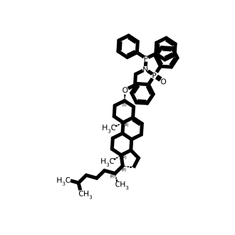 CC(C)CCC[C@@H](C)[C@H]1CCC2C3CC=C4C[C@@H](OCCN(P(c5ccccc5)c5ccccc5)P(=O)(c5ccccc5)c5ccccc5)CC[C@]4(C)C3CC[C@@]21C